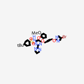 COc1ccccc1Oc1c(NS(=O)(=O)c2ccc(C(C)(C)C)cc2)nc(-c2ncccn2)nc1OCC#CCOc1ncc(Br)cn1